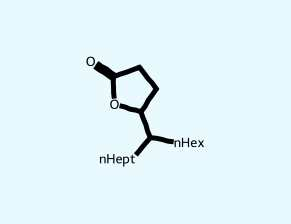 CCCCCCCC(CCCCCC)C1CCC(=O)O1